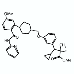 COC(=O)C(C)(F)C(c1cccc(OCC2CCC(c3cc(OC)ccc3C(=O)Nc3ccccn3)CC2)c1)C1CC1